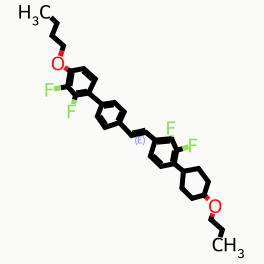 CCCCOc1ccc(-c2ccc(/C=C/c3ccc(C4CCC(OCCC)CC4)c(F)c3F)cc2)c(F)c1F